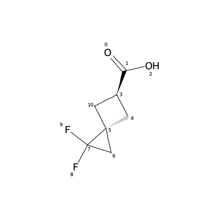 O=C(O)[C@H]1C[C@@]2(CC2(F)F)C1